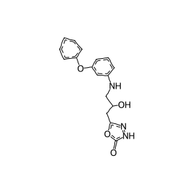 O=c1[nH]nc(CC(O)CNc2cccc(Oc3ccccc3)c2)o1